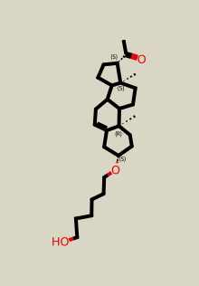 CC(=O)[C@H]1CCC2C3CC=C4C[C@@H](OCCCCCCO)CC[C@]4(C)C3CC[C@@]21C